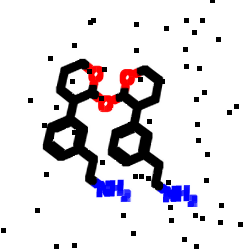 NCCc1cccc(C2CCCOC2OC2OCCCC2c2cccc(CCN)c2)c1